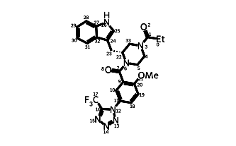 CCC(=O)N1CCN(C(=O)c2cc(-n3nnnc3C(F)(F)F)ccc2OC)[C@H](Cc2c[nH]c3ccccc23)C1